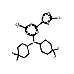 Cc1nsc(-c2nc(N)nc(N(C3CCC(F)(F)CC3)C3CCC(F)(F)CC3)n2)n1